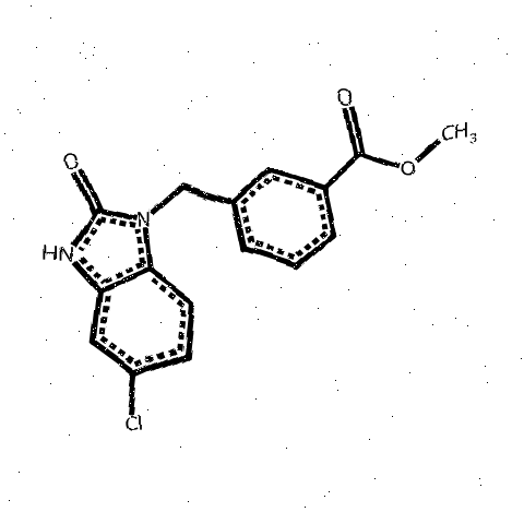 COC(=O)c1cccc(Cn2c(=O)[nH]c3cc(Cl)ccc32)c1